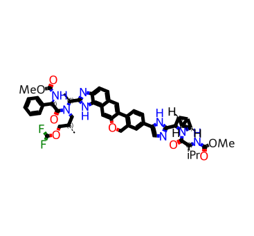 COC(=O)N[C@H](C(=O)N1C(c2ncc(-c3ccc4c(c3)COc3cc5c(ccc6nc([C@H](C)N(C[C@H](C)COC(F)F)C(=O)[C@H](NC(=O)OC)c7ccccc7)[nH]c65)cc3-4)[nH]2)[C@H]2C3[C@H]2[C@@H]31)C(C)C